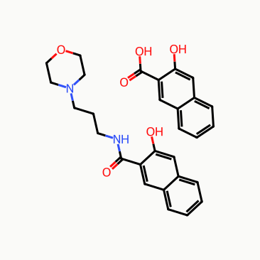 O=C(NCCCN1CCOCC1)c1cc2ccccc2cc1O.O=C(O)c1cc2ccccc2cc1O